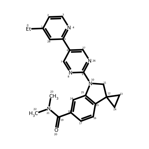 CCc1ccnc(-c2cnc(N3CC4(CC4)c4ccc(C(=O)N(C)C)cc43)nc2)c1